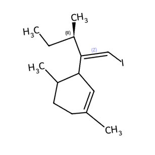 CC[C@@H](C)/C(=C/I)C1C=C(C)CCC1C